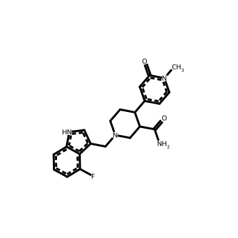 Cn1ccc(C2CCN(Cc3c[nH]c4cccc(F)c34)CC2C(N)=O)cc1=O